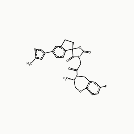 Cn1cc(-c2ccc3c(c2)CC[C@]32OC(=O)N(CC(=O)N3Cc4cc(F)ccc4OC[C@H]3C(F)(F)F)C2=O)cn1